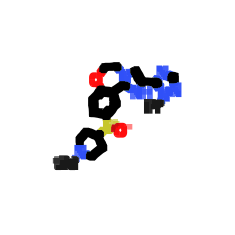 CC(C)n1ncnc1C1=CN2CCOc3ccc([S+]([O-])C4CCN(C(C)(C)C)CC4)cc3C2N1